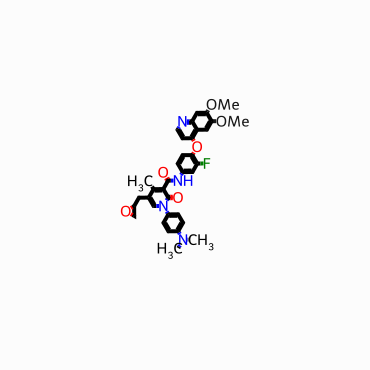 COc1cc2nccc(Oc3ccc(NC(=O)c4c(C)c(CC5CO5)cn(-c5ccc(N(C)C)cc5)c4=O)cc3F)c2cc1OC